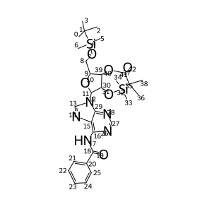 CC(C)(C)[Si](C)(C)OCC1OC(n2cnc3c(NC(=O)c4ccccc4)ncnc32)C(O[Si](C)(C)C(C)(C)C)C1OC=O